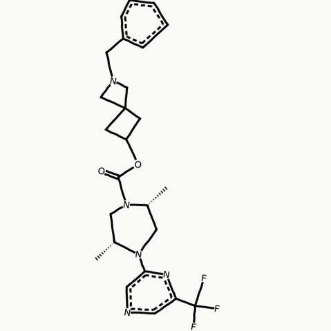 C[C@@H]1CN(c2cncc(C(F)(F)F)n2)[C@H](C)CN1C(=O)OC1CC2(C1)CN(Cc1ccccc1)C2